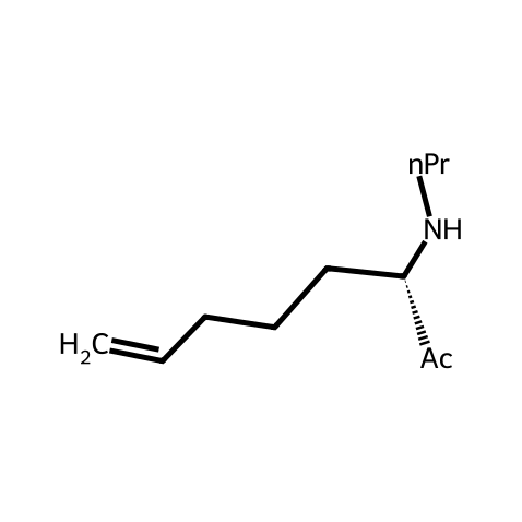 C=CCCC[C@H](NCCC)C(C)=O